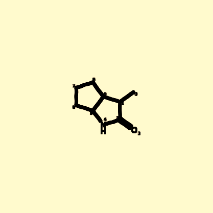 CC1C(=O)NC2CCCC21